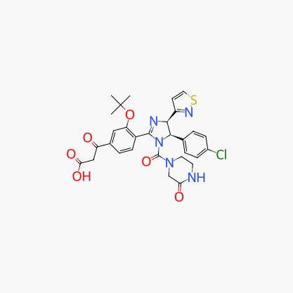 CC(C)(C)Oc1cc(C(=O)CC(=O)O)ccc1C1=N[C@@H](c2ccsn2)[C@@H](c2ccc(Cl)cc2)N1C(=O)N1CCNC(=O)C1